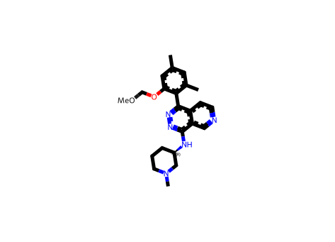 COCOc1cc(C)cc(C)c1-c1nnc(N[C@@H]2CCCN(C)C2)c2cnccc12